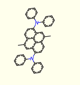 Cc1cc2c(N(c3ccccc3)c3ccccc3)ccc3c(C)cc4c(N(c5ccccc5)c5ccccc5)ccc1c4c32